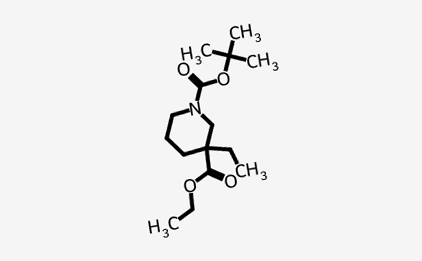 CCOC(=O)C1(CC)CCCN(C(=O)OC(C)(C)C)C1